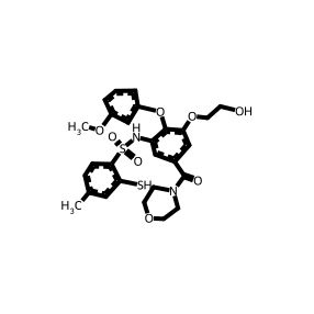 COc1cccc(Oc2c(NS(=O)(=O)c3ccc(C)cc3S)cc(C(=O)N3CCOCC3)cc2OCCO)c1